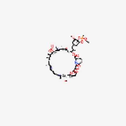 C=C1[C@H](C)C[C@H](C)/C=C/C=C/C=C(\C)[C@@H](OC)C[C@@H]2CC[C@@H](C)C(O)(O2)C(=O)C(=O)N2CCCCC2C(=O)O[C@H]([C@H](C)C[C@@H]2CC[C@@H](OP(C)(=O)OCC)[C@H](OC)C2)CC(=O)[C@H](C)/C=C(\C)[C@@H](O)[C@H]1OC